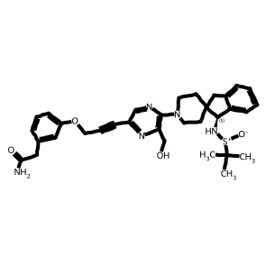 CC(C)(C)[S+]([O-])N[C@@H]1c2ccccc2CC12CCN(c1ncc(C#CCOc3cccc(CC(N)=O)c3)nc1CO)CC2